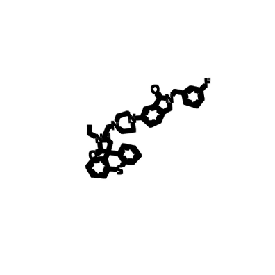 CCNC(=O)C1(CCCN2CCN(c3ccc4c(c3)C(=O)N(Cc3cccc(F)c3)C4)CC2)c2ccccc2Sc2ccccc21